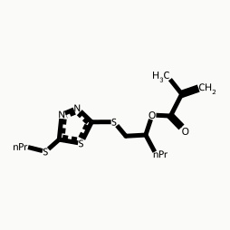 C=C(C)C(=O)OC(CCC)CSc1nnc(SCCC)s1